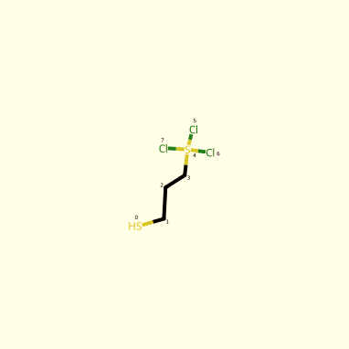 SCCCS(Cl)(Cl)Cl